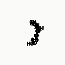 COc1ccc2nc(Nc3ccc(-c4ccc(C(=O)[C@@H]5CC[C@H]5C(=O)O)cc4)cc3F)sc2c1